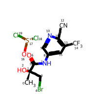 C[C@](O)(CBr)C(=O)Nc1cnc(C#N)c(C(F)(F)F)c1.[O-][S+](Cl)Cl